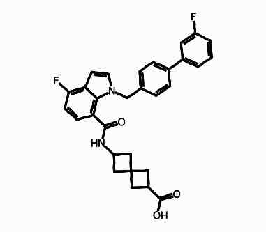 O=C(NC1CC2(C1)CC(C(=O)O)C2)c1ccc(F)c2ccn(Cc3ccc(-c4cccc(F)c4)cc3)c12